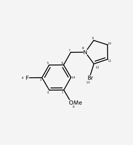 COc1cc(F)cc(CN2CCC=C2Br)c1